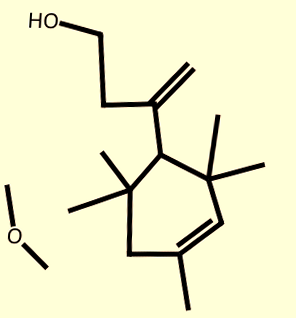 C=C(CCO)C1C(C)(C)C=C(C)CC1(C)C.COC